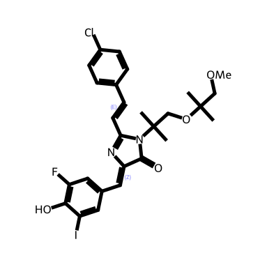 COCC(C)(C)OCC(C)(C)N1C(=O)/C(=C/c2cc(F)c(O)c(I)c2)N=C1/C=C/c1ccc(Cl)cc1